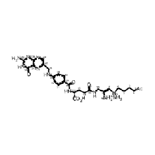 CC(=O)CCCCN(N)/C=C(\N)CNC(=O)CC[C@H](NC(=O)c1ccc(NCc2cnc3nc(N)[nH]c(=O)c3n2)cc1)C(=O)O